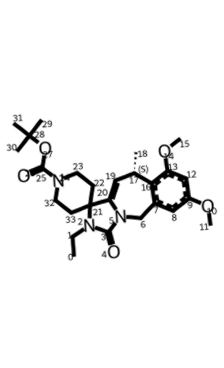 CCN1C(=O)N2Cc3cc(OC)cc(OC)c3[C@@H](C)C=C2C12CCN(C(=O)OC(C)(C)C)CC2